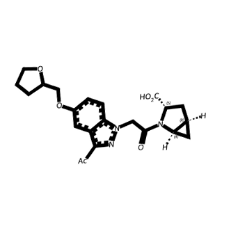 CC(=O)c1nn(CC(=O)N2[C@@H]3C[C@@H]3C[C@H]2C(=O)O)c2ccc(OCC3CCCO3)cc12